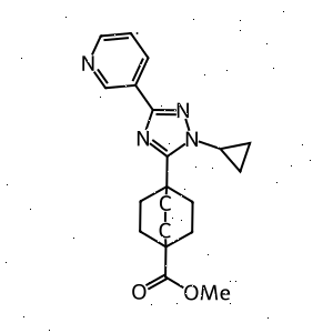 COC(=O)C12CCC(c3nc(-c4c[c]cnc4)nn3C3CC3)(CC1)CC2